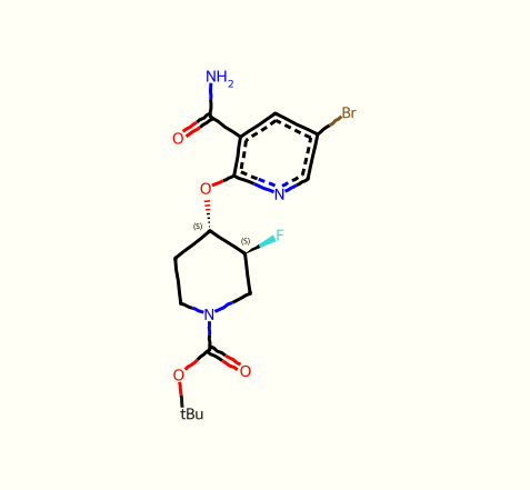 CC(C)(C)OC(=O)N1CC[C@H](Oc2ncc(Br)cc2C(N)=O)[C@@H](F)C1